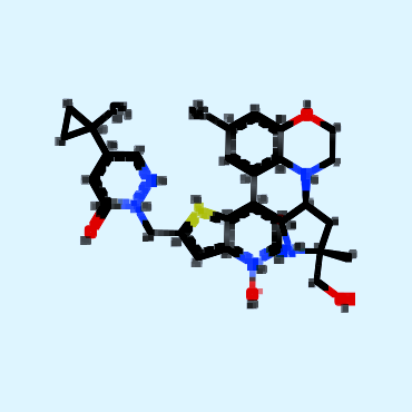 C[C@]1(CO)C[C@H](N2CCOc3cc(C#N)cc(-c4cc[n+]([O-])c5cc(Cn6ncc(C7(C(F)(F)F)CC7)cc6=O)sc45)c32)CN1